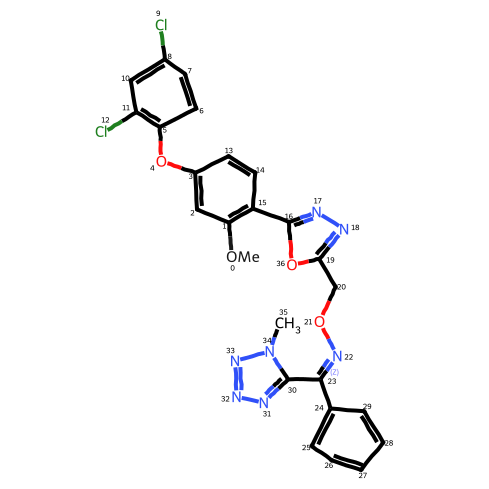 COc1cc(Oc2ccc(Cl)cc2Cl)ccc1-c1nnc(CO/N=C(/c2ccccc2)c2nnnn2C)o1